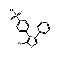 NS(=O)(=O)c1ccc(-c2c(-c3ccccc3)noc2[18F])cc1